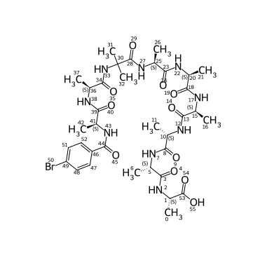 C[C@H](NC(=O)[C@H](C)NC(=O)[C@H](C)NC(=O)[C@H](C)NC(=O)[C@H](C)NC(=O)[C@H](C)NC(=O)C(C)(C)NC(=O)[C@H](C)NC(=O)[C@H](C)NC(=O)c1ccc(Br)cc1)C(=O)O